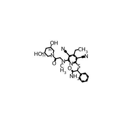 CCc1c(C#N)c(SC(C(N)=O)c2ccccc2)nc(N(C)CC(=O)N2C[C@H](O)C[C@H](O)C2)c1C#N